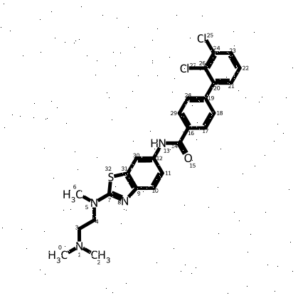 CN(C)CCN(C)c1nc2ccc(NC(=O)c3ccc(-c4cccc(Cl)c4Cl)cc3)cc2s1